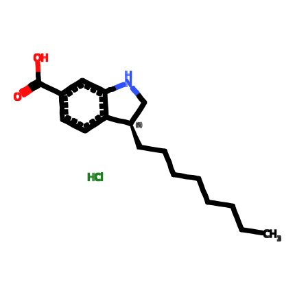 CCCCCCCC[C@@H]1CNc2cc(C(=O)O)ccc21.Cl